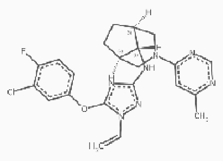 C=Cn1nc(N[C@@H]2[C@@H]3CC[C@H]2CN(c2cc(C)ncn2)C3)nc1Oc1ccc(F)c(Cl)c1